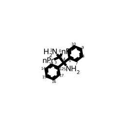 CCCC(N)(CCC)C(N)(c1ccccc1)c1ccccc1